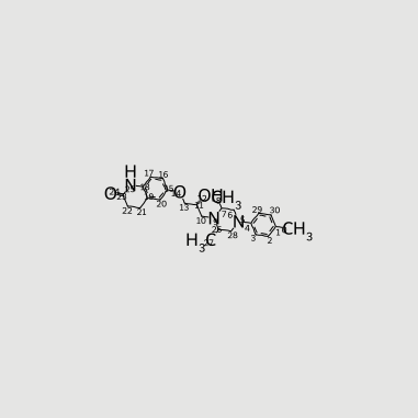 Cc1ccc(N2CC(C)N(C[C@H](O)COc3ccc4c(c3)CCC(=O)N4)C(C)C2)cc1